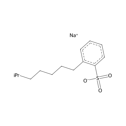 CC(C)CCCCCc1ccccc1S(=O)(=O)[O-].[Na+]